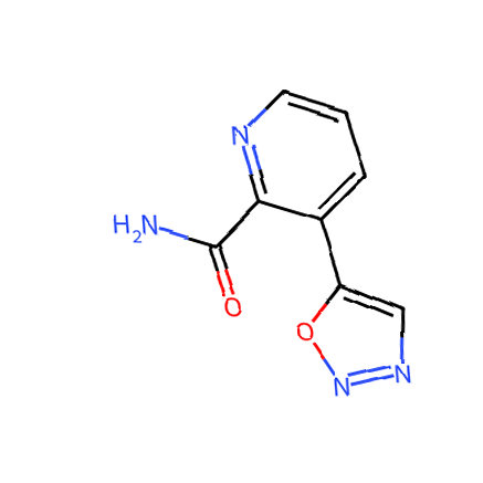 NC(=O)c1ncccc1-c1cnno1